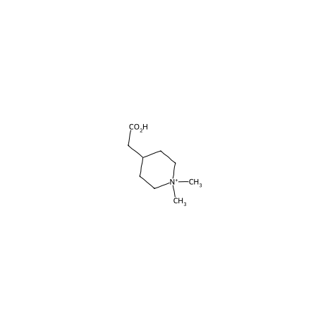 C[N+]1(C)CCC(CC(=O)O)CC1